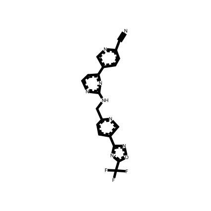 N#Cc1ccc(-c2ccnc(NCc3ccc(-c4noc(C(F)(F)F)n4)cn3)n2)cn1